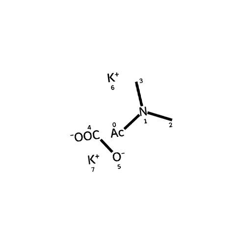 CC(=O)N(C)C.O=C([O-])[O-].[K+].[K+]